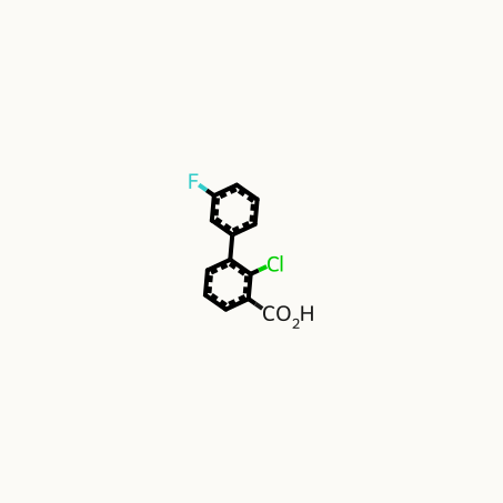 O=C(O)c1cccc(-c2cccc(F)c2)c1Cl